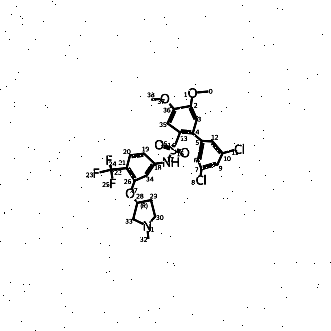 COc1cc(-c2cc(Cl)cc(Cl)c2)c(S(=O)(=O)Nc2ccc(C(F)(F)F)c(O[C@@H]3CCN(C)C3)c2)cc1OC